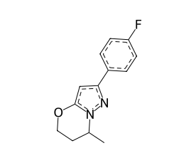 CC1CCOc2cc(-c3ccc(F)cc3)nn21